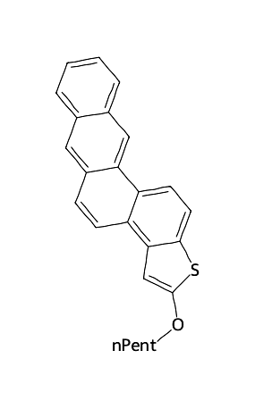 CCCCCOc1cc2c(ccc3c4cc5ccccc5cc4ccc23)s1